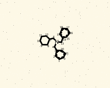 c1ccc(CN(C[C]2CCCCC2)Cc2ccccc2)cc1